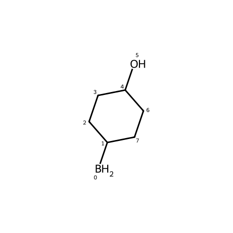 BC1CCC(O)CC1